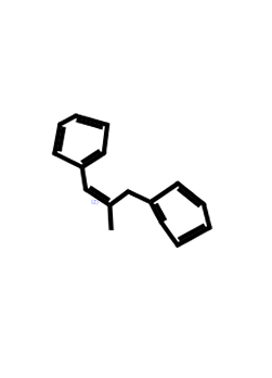 C/C(=C/c1ccccc1)Cc1ccccc1